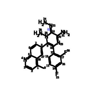 Cc1ccnc2ccc(-c3c(-c4ccc(F)cc4F)nc(N)/c(=N/N)n3N)cc12